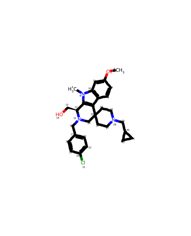 COc1ccc2c3c(n(C)c2c1)[C@H](CO)N(Cc1ccc(Cl)cc1)CC31CCN(CC2CC2)CC1